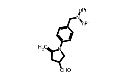 C=C1CC(C=O)CN1c1ccc(CN(CCC)CCC)cc1